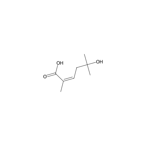 CC(=CCC(C)(C)O)C(=O)O